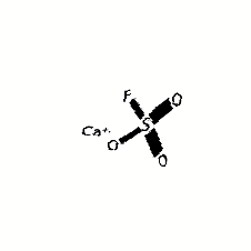 O=S(=O)([O-])F.[Ca+]